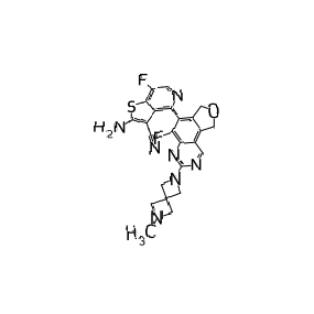 CN1CC2(C1)CN(c1ncc3c4c(c(-c5ncc(F)c6sc(N)c(C#N)c56)c(F)c3n1)COC4)C2